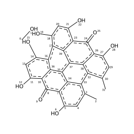 CO.Cc1cc(O)c2c(=O)c3c(O)cc(O)c4c5c(O)cc(O)c6c(=O)c7c(O)cc(C)c8c1c2c(c34)c(c78)c65